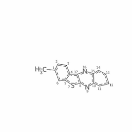 Cc1ccc2c(c1)sc1nc3ccccc3nc12